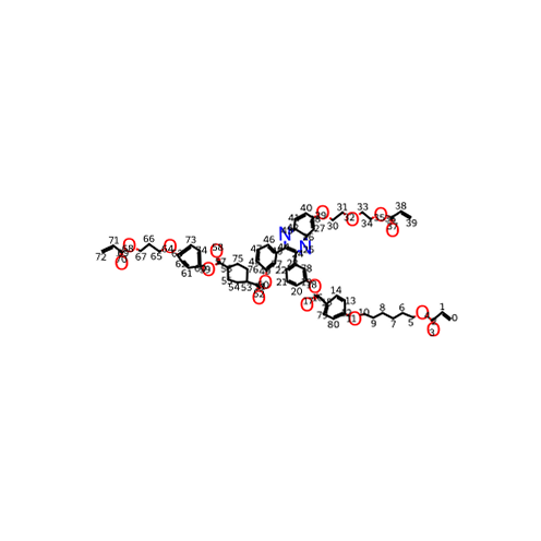 C=CC(=O)OCCCCCCOc1ccc(C(=O)Oc2cccc(-c3nc4cc(OCCOCCOC(=O)C=C)ccc4nc3-c3cccc(OC(=O)C4CCC(C(=O)Oc5ccc(OCCCOC(=O)C=C)cc5)CC4)c3)c2)cc1